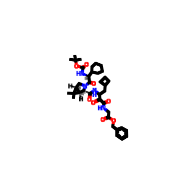 CC(C)(C)OC(=O)N[C@H](C(=O)N1C[C@H]2[C@@H]([C@H]1C(=O)NC(CC1CCC1)C(=O)C(=O)NCC(=O)OCc1ccccc1)C2(C)C)C1CCCCC1